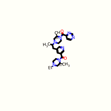 CCN1CCN(C(=O)c2cncc(CC(C)N3CCN(C(=O)c4ccncn4)[C@H](C)C3)c2)[C@@H](C)C1